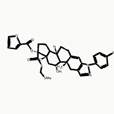 CSCSC(=O)[C@@]1(OC(=O)c2ccco2)CCC2[C@@H]3CCC4=Cc5c(cnn5-c5ccc(F)cc5)C[C@]4(C)C3[C@@H](O)C[C@@]21C